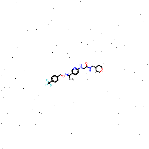 C/C(=N\OCc1ccc(C(F)(F)F)cc1)c1ccc(NCC(=O)NCC2CCOCC2)nc1